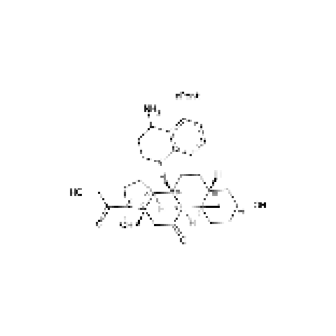 CCCCCC.C[C@]12CC[C@@H](O)C[C@H]1CC[C@@H]1[C@@H]2C(=O)C[C@@]2(C)[C@H]1CC[C@]2(O)C(=O)CO.NC1CCSc2ccccc21